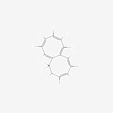 FC1=C(F)C(F)=C2C(F)=C(F)C(F)=C(F)C(F)C(F)(F)C2=C(F)C(F)=C1F